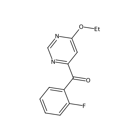 CCOc1cc(C(=O)c2ccccc2F)ncn1